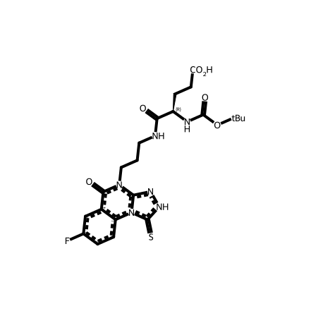 CC(C)(C)OC(=O)N[C@H](CCC(=O)O)C(=O)NCCCn1c(=O)c2cc(F)ccc2n2c(=S)[nH]nc12